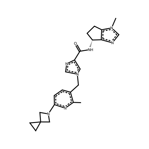 Cc1nc(N2CC3(CC3)C2)ccc1Cn1cnc(C(=O)N[C@@H]2CCc3c2ncn3C)c1